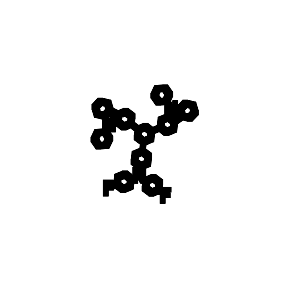 Fc1ccc(N(c2ccc(F)cc2)c2ccc(-c3cc(-c4ccc5c6ccccc6n(-c6ccccc6)c5c4)cc(-c4ccc5c6ccccc6n(-c6ccccc6)c5c4)c3)cc2)cc1